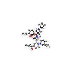 COC(=O)C1CCN(c2cc(C(F)(F)F)ccc2[C@@H]2C[C@@H](CO)N(C(=O)[C@]3(F)CN(C4CCCC4)C[C@H]3c3ccc(OC)cc3)C2)CC1